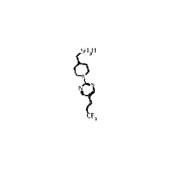 O=S(=O)(O)CC1CCN(c2ncc(CCC(F)(F)F)cn2)CC1